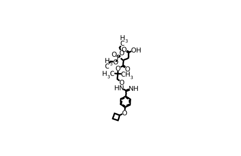 CCOP(=O)(OCC)C(CC(=O)O)C(=O)OC(C)(C)CONC(=N)c1ccc(OC2CCC2)cc1